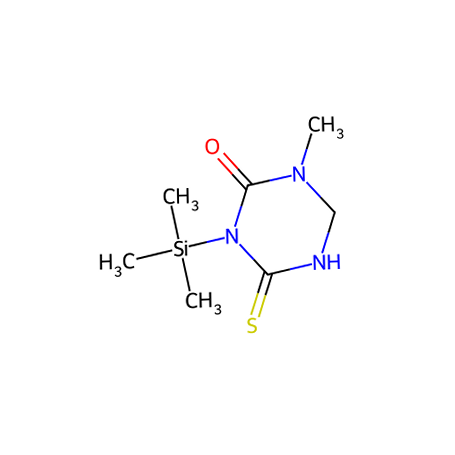 CN1CNC(=S)N([Si](C)(C)C)C1=O